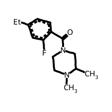 CCc1ccc(C(=O)N2CCN(C)C(C)C2)c(F)c1